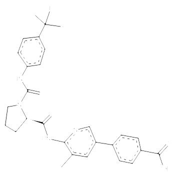 O=C(O)c1ccc(-c2cnc(NC(=O)[C@H]3CCCN3C(=O)Nc3ccc(C(F)(F)F)cc3)c(F)c2)cc1